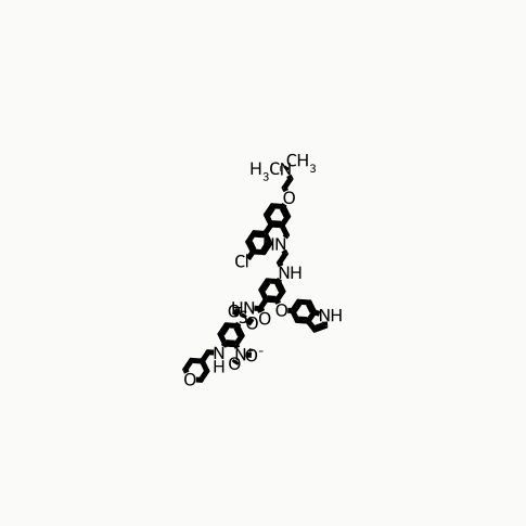 CN(C)CCOc1ccc(-c2ccc(Cl)cc2)c(CNCCNc2ccc(C(=O)NS(=O)(=O)c3ccc(NCC4CCOCC4)c([N+](=O)[O-])c3)c(Oc3ccc4[nH]ccc4c3)c2)c1